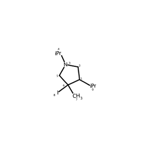 CC(C)C1CN(C(C)C)CC1(C)I